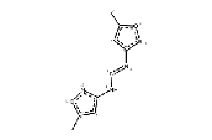 Cc1cc(N=NNc2cc(C)on2)no1